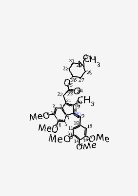 COc1cc2c(cc1OC)/C(=C\c1cc(OC)c(OC)c(OC)c1)C(C)=C2CC(=O)OC1CCN(C)CC1